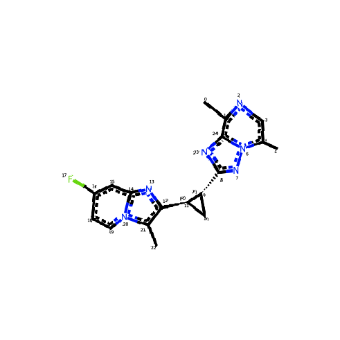 Cc1ncc(C)n2nc([C@@H]3C[C@H]3c3nc4cc(F)ccn4c3C)nc12